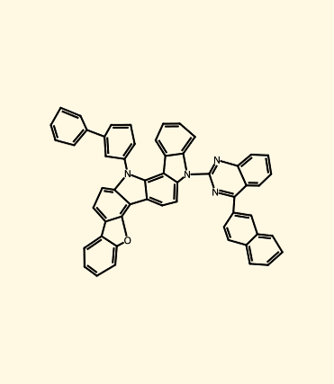 c1ccc(-c2cccc(-n3c4ccc5c6ccccc6oc5c4c4ccc5c(c6ccccc6n5-c5nc(-c6ccc7ccccc7c6)c6ccccc6n5)c43)c2)cc1